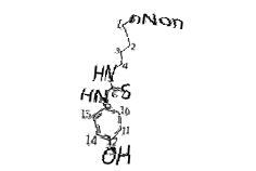 CCCCCCCCCCCCCNC(=S)Nc1ccc(O)cc1